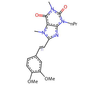 CCCn1c(=O)n(C)c(=O)c2c1nc(/C=C/c1ccc(OC)c(OC)c1)n2C